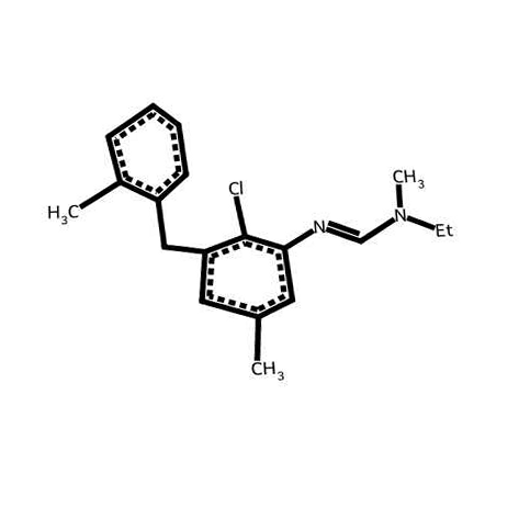 CCN(C)C=Nc1cc(C)cc(Cc2ccccc2C)c1Cl